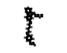 O=C(O)Cn1c2ccccc2c2ccc(OCCCCOc3ccc([N+](=O)[O-])cc3)cc21